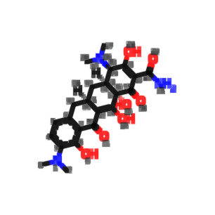 CN(C)c1ccc2c(c1O)C(=O)C1=C(O)[C@]3(O)C(=O)C(C(N)=O)=C(O)[C@H](N(C)C)[C@@H]3C[C@@H]1C2